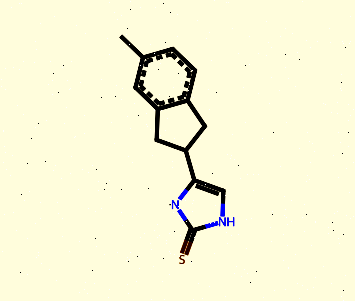 Cc1ccc2c(c1)CC(C1=CNC(=S)[N]1)C2